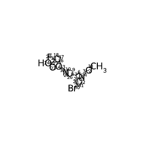 CCOCCn1cc(C2CCN(CCOc3cccc(F)c3C(=O)O)CC2)c2cc(Br)ccc21